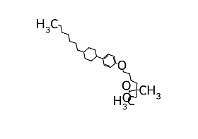 CCCCCCCC1CCC(c2ccc(OCCC3CC(C)(CC)C(=O)O3)cc2)CC1